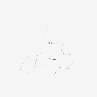 CCOC(=O)[C@H]1OC2(CCCCC2)OC1c1c(Cl)cccc1Cl